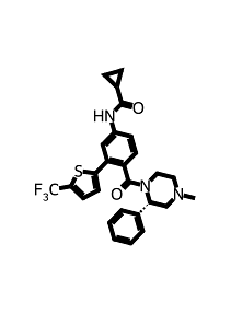 CN1CCN(C(=O)c2ccc(NC(=O)C3CC3)cc2-c2ccc(C(F)(F)F)s2)[C@@H](c2ccccc2)C1